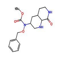 CC(C)(C)OC(=O)N(OCc1ccccc1)C1CNC2C(=O)NCCC2C1